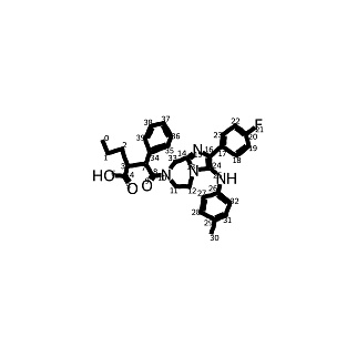 CCCC(C(=O)O)C(C(=O)N1CCn2c(nc(-c3ccc(F)cc3)c2Nc2ccc(C)cc2)C1)c1ccccc1